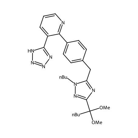 CCCCn1nc(C(CCCC)(OC)OC)nc1Cc1ccc(-c2ncccc2-c2nnn[nH]2)cc1